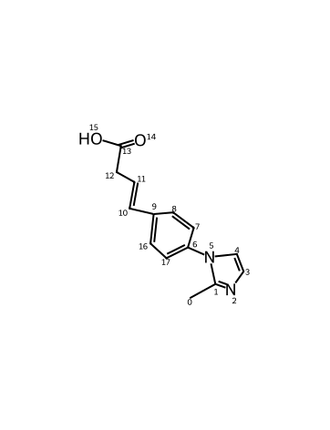 Cc1nccn1-c1ccc(C=CCC(=O)O)cc1